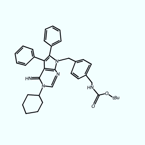 CC(C)(C)OC(=O)NCc1ccc(Cn2c(-c3ccccc3)c(-c3ccccc3)c3c(=N)n(C4CCCCC4)cnc32)cc1